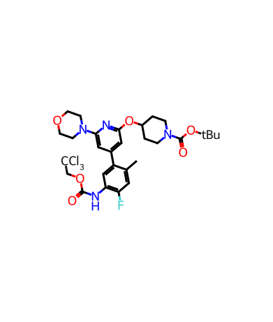 Cc1cc(F)c(NC(=O)OCC(Cl)(Cl)Cl)cc1-c1cc(OC2CCN(C(=O)OC(C)(C)C)CC2)nc(N2CCOCC2)c1